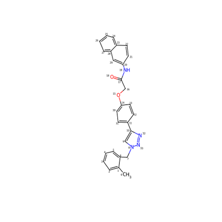 Cc1ccccc1Cn1cc(-c2ccc(OCC(=O)Nc3ccc4ccccc4c3)cc2)nn1